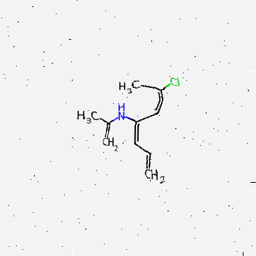 C=C/C=C(\C=C(/C)Cl)NC(=C)C